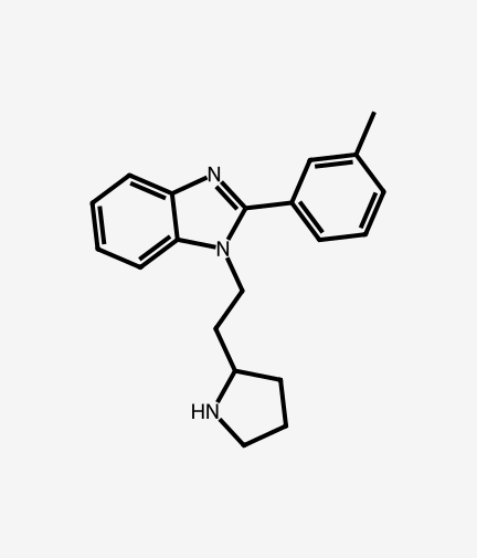 Cc1cccc(-c2nc3ccccc3n2CCC2CCCN2)c1